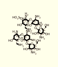 NC[C@H]1O[C@H](O[C@H]2[C@H](O)[C@@H](O[C@H]3O[C@H](CO)[C@@H](O)[C@H](N)[C@H]3O)[C@H](N)C[C@@H]2N)[C@H](N)C[C@@H]1O.NC[C@H]1O[C@H](O[C@H]2[C@H](O)[C@@H](O[C@H]3O[C@H](CO)[C@@H](O)[C@H](N)[C@H]3O)[C@H](N)C[C@@H]2N)[C@H](N)C[C@@H]1O.O=S(=O)(O)O